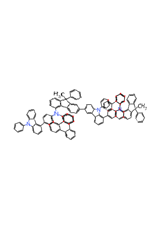 CC1(c2ccccc2)c2ccccc2-c2c(N(c3ccc(-c4cccc5c6cc(-c7ccc8c(c7)C(C)(c7ccccc7)c7cccc(N(c9ccc(-c%10cccc%11c%10c%10ccccc%10n%11-c%10ccccc%10)cc9)c9ccccc9-c9ccccc9-c9ccccc9-c9ccccc9)c7-8)ccc6n(-c6ccccc6)c45)cc3)c3ccccc3-c3ccccc3-c3ccccc3-c3ccccc3)cccc21